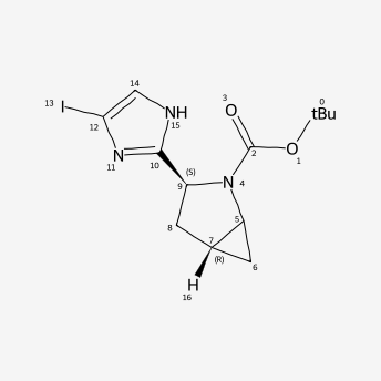 CC(C)(C)OC(=O)N1C2C[C@@H]2C[C@H]1c1nc(I)c[nH]1